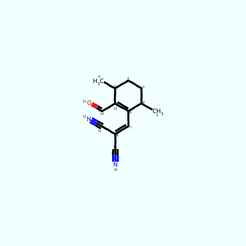 CC1CCC(C)C(C=C(C#N)C#N)=C1C=O